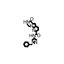 O=C(Nc1cnn(Cc2ccccc2)c1)c1ccc2cc3n(c2n1)CCNC3=O